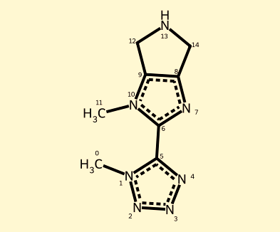 Cn1nnnc1-c1nc2c(n1C)CNC2